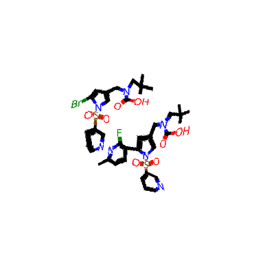 CC(C)(C)CN(Cc1cc(Br)n(S(=O)(=O)c2cccnc2)c1)C(=O)O.Cc1ccc(-c2cc(CN(CC(C)(C)C)C(=O)O)cn2S(=O)(=O)c2cccnc2)c(F)n1